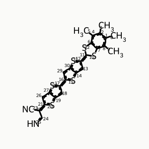 Cc1c(C)c(C)c2c(c1C)SC(=c1cc3s/c(=c4\cc5s/c(=C(/C#N)C=N)cc5s4)cc3s1)S2